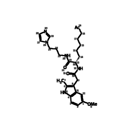 COc1ccc2[nH]c(C)c(CC(=O)N[C@@H](CCCCCC(C)=O)C(=O)NCCCn3ccnc3)c2c1